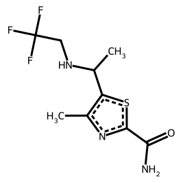 Cc1nc(C(N)=O)sc1C(C)NCC(F)(F)F